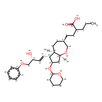 CCCC(CC[C@@H]1CC[C@@H]2[C@@H](C=C[C@@H](O)COc3ccccc3)[C@H](OC3CCCCO3)C[C@@H]2OC1)C(=O)O